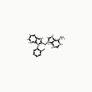 Cc1ccccc1-n1c(Cn2cnc3c(N)ncnc32)nc2cccnc21